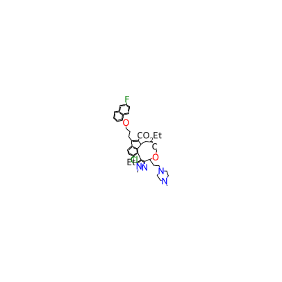 CCOC(=O)C1=C(CCCOc2cccc3cc(F)ccc23)c2ccc(Cl)c3c2C1CCCCOC(CCN1CCN(C)CC1)c1nn(C)c(CC)c1-3